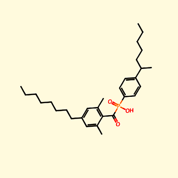 CCCCCCCCc1cc(C)c(C(=O)P(=O)(O)c2ccc(C(C)CCCCC)cc2)c(C)c1